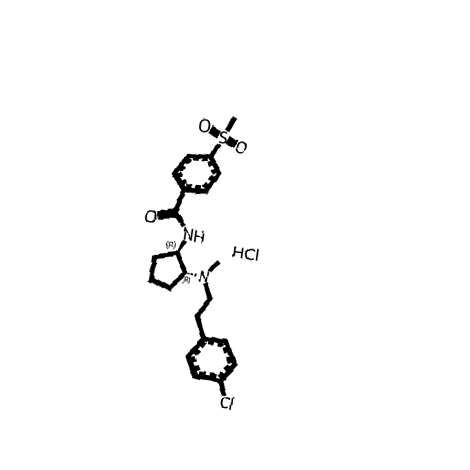 CN(CCc1ccc(Cl)cc1)[C@@H]1CCC[C@H]1NC(=O)c1ccc(S(C)(=O)=O)cc1.Cl